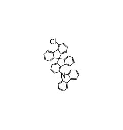 Clc1cccc2c1-c1ccccc1C21c2ccccc2-c2c(-n3c4ccccc4c4ccccc43)cccc21